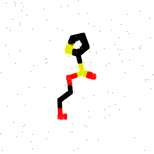 O=S(OCCO)c1cccs1